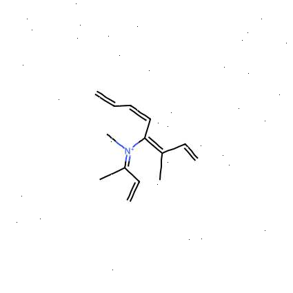 C=C\C=C/C(=C(/C)C=C)[N+](/C)=C(/C)C=C